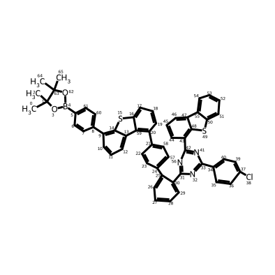 CC1(C)OB(c2ccc(-c3cccc4c3sc3cccc(-c5ccc(-c6ccccc6-c6nc(-c7ccc(Cl)cc7)nc(-c7cccc8c7sc7ccccc78)n6)cc5)c34)cc2)OC1(C)C